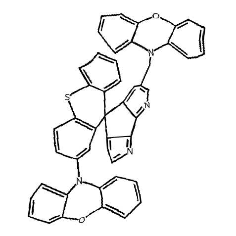 c1ccc2c(c1)Oc1ccccc1N2c1ccc2c(c1)C1(c3ccccc3S2)c2cccnc2-c2ncc(N3c4ccccc4Oc4ccccc43)cc21